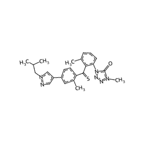 Cc1cc(-c2cnn(CC(C)C)c2)ccc1C(=S)c1c(C)cccc1-n1nnn(C)c1=O